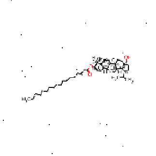 C=C(C)[C@@H]1CC[C@]2(CO)CC[C@]3(C)[C@H](CC[C@@H]4[C@@]5(C)CC[C@H](OC(=O)CCCCCCCCCCCCCCCCC)C(C)(C)[C@@H]5CC[C@]43C)[C@@H]12